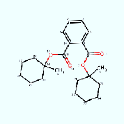 CC1(OC(=O)c2ccccc2C(=O)OC2(C)CCCCC2)CCCCC1